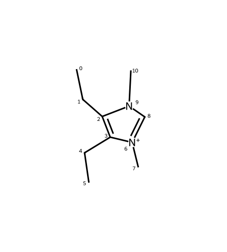 CCc1c(CC)[n+](C)cn1C